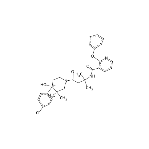 CC(C)(CC(=O)N1CC[C@](O)(c2ccc(Cl)cc2)C(C)(C)C1)NC(=O)c1cccnc1Oc1ccccc1